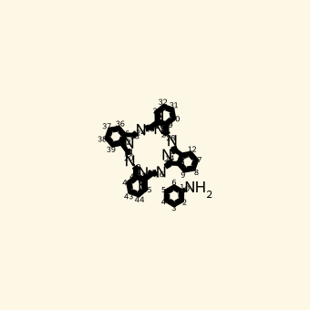 Nc1ccccc1.c1ccc2c(c1)-c1nc-2nc2[nH]c(nc3nc(nc4[nH]c(n1)c1ccccc41)-c1ccccc1-3)c1ccccc21